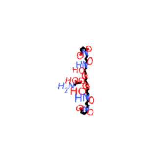 NCC(O)COC(COCC(O)CNC(=O)CCN1C(=O)C=CC1=O)COCC(O)CNC(=O)CCN1C(=O)C=CC1=O